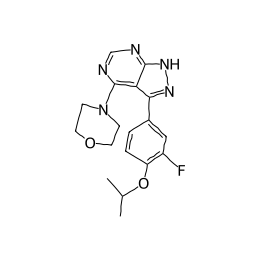 CC(C)Oc1ccc(-c2n[nH]c3ncnc(N4CCOCC4)c23)cc1F